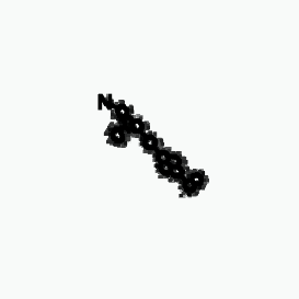 N#Cc1ccc2c3ccc(-c4ccc(-c5cc6ccc7cc(-c8cccc9ccccc89)cc8ccc(c5)c6c78)cc4)cc3n(-c3ccccc3)c2c1